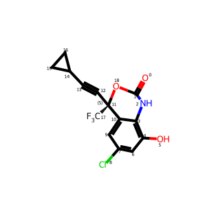 O=C1Nc2c(O)cc(Cl)cc2[C@@](C#CC2CC2)(C(F)(F)F)O1